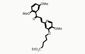 CCOC(=O)CCCCOc1cc(C=CC(=O)c2cc(OC)ccc2OC)ncc1OC